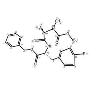 C[C@H](C(=O)N[C@H](Cc1ccc(F)cc1)C(=O)OCc1ccccc1)N(C)C(=O)OC(C)(C)C